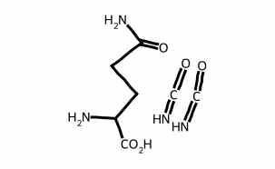 N=C=O.N=C=O.NC(=O)CCC(N)C(=O)O